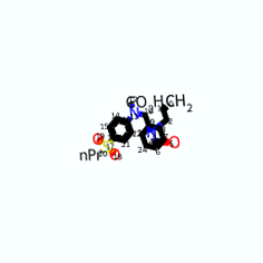 C=CCN1C(=O)C2CCC1(CN(C(=O)O)c1ccc(S(=O)(=O)CCC)cc1)CC2